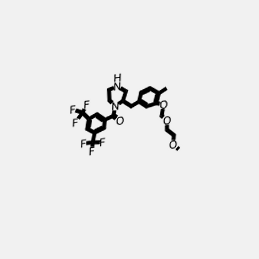 COCCOCOc1cc(CC2CNCCN2C(=O)c2cc(C(F)(F)F)cc(C(F)(F)F)c2)ccc1C